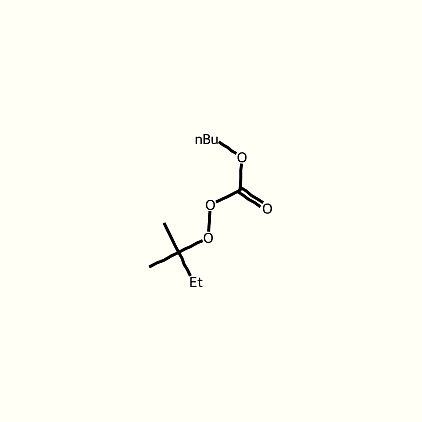 CCCCOC(=O)OOC(C)(C)CC